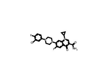 NC(=O)c1cn(C2CC2)c2cc(N3CCN(c4ccc(F)c(Cl)c4)CC3)c(F)cc2c1=O